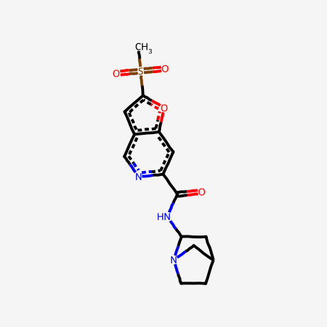 CS(=O)(=O)c1cc2cnc(C(=O)NC3CC4CCN3C4)cc2o1